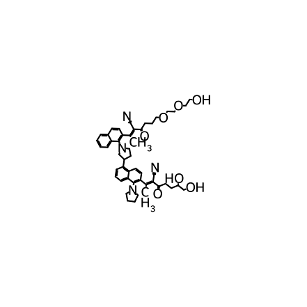 C/C(=C(/C#N)C(=O)CCCOCCOCCO)c1ccc2ccccc2c1N1CCC(c2cccc3c(N4CCCC4)c(/C(C)=C(\C#N)C(=O)CCC(O)CO)ccc23)C1